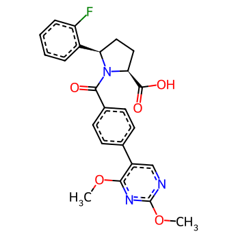 COc1ncc(-c2ccc(C(=O)N3[C@@H](c4ccccc4F)CC[C@H]3C(=O)O)cc2)c(OC)n1